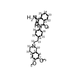 COc1cc2c(cc1OC)CN(CCc1ccc(NC(=O)c3[c]cccc3[N+](N)=O)cc1)CC2